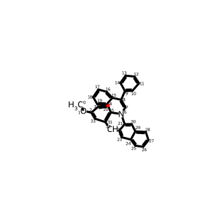 COc1ccc(N(C=C(c2ccccc2)c2ccccc2)c2ccc3ccccc3c2)c(C)c1